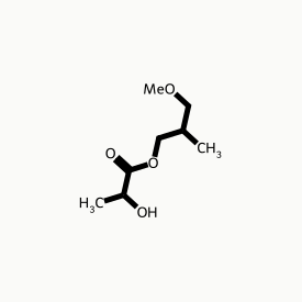 COCC(C)COC(=O)C(C)O